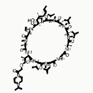 C/C=C/C[C@@H](C)[C@@H](O)[C@H]1C(=O)N[C@@H](CC)C(=O)N(C)[C@H](C)C(=O)N[C@@H]([C@H](C)COCC(=O)N2CCN(C(C)C)CC2)C(=O)N[C@@H](C(C)C)C(=O)N(C)[C@@H](CC(C)C)C(=O)N[C@@H](C)C(=O)N[C@H](C)C(=O)N(C)[C@@H](CC(C)C)C(=O)N(C)[C@@H](CC(C)C)C(=O)N(C)[C@@H](C(C)C)C(=O)N1C